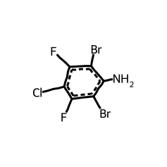 Nc1c(Br)c(F)c(Cl)c(F)c1Br